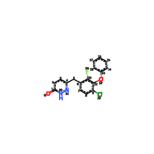 O=c1ccc(Cc2ccc(Cl)c(Oc3ccccc3)c2F)n[nH]1